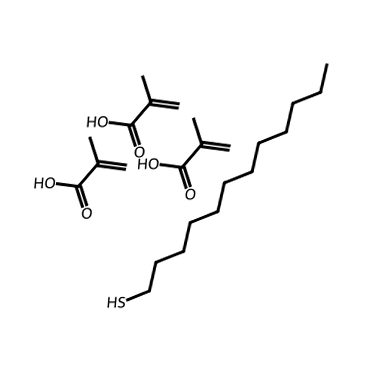 C=C(C)C(=O)O.C=C(C)C(=O)O.C=C(C)C(=O)O.CCCCCCCCCCCCS